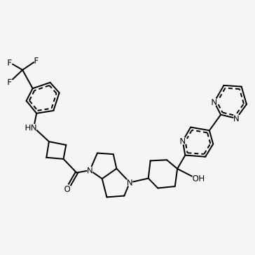 O=C(C1CC(Nc2cccc(C(F)(F)F)c2)C1)N1CCC2C1CCN2C1CCC(O)(c2ccc(-c3ncccn3)cn2)CC1